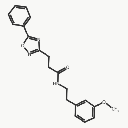 O=C(CCc1noc(-c2ccccc2)n1)NCCc1cccc(OC(F)(F)F)c1